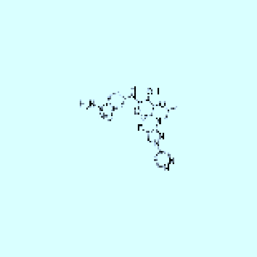 C[C@H]1CN(c2nn(-c3ccnnc3)cc2F)C(=O)[C@@H](C(O)C(=O)Nc2ccc3c(N)noc3c2)O1